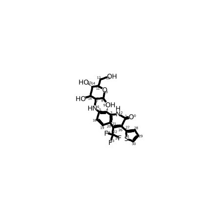 O=c1[nH]c2cc(NC3C(O)OC(CO)[C@@H](O)C3O)ccc2c(C(F)(F)F)c1-c1cccs1